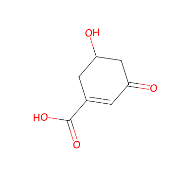 O=C1C=C(C(=O)O)CC(O)C1